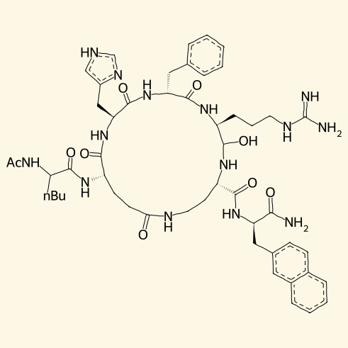 CCCCC(NC(C)=O)C(=O)N[C@H]1CCC(=O)NCC[C@@H](C(=O)N[C@H](Cc2ccc3ccccc3c2)C(N)=O)NC(O)[C@H](CCCNC(=N)N)NC(=O)[C@@H](Cc2ccccc2)NC(=O)[C@H](Cc2c[nH]cn2)NC1=O